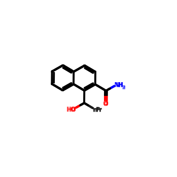 CCCC(O)c1c(C(N)=O)ccc2ccccc12